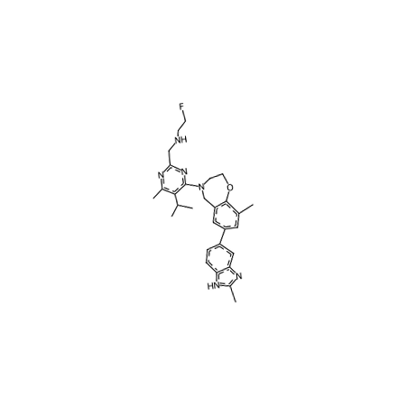 Cc1nc2cc(-c3cc(C)c4c(c3)CN(c3nc(CNCCF)nc(C)c3C(C)C)CCO4)ccc2[nH]1